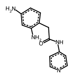 Nc1ccc(CC(=O)Nc2ccncc2)c(N)c1